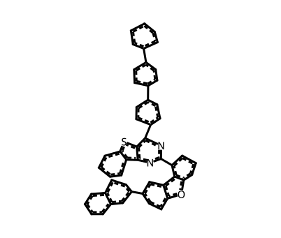 c1ccc(-c2ccc(-c3ccc(-c4nc(-c5cccc6oc7ccc(-c8ccc9ccccc9c8)cc7c56)nc5c4sc4ccccc45)cc3)cc2)cc1